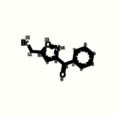 O=C(c1ccccc1)c1cc(CBr)on1